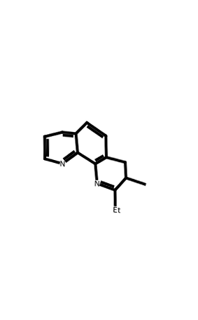 CCC1=Nc2c(ccc3cccnc23)CC1C